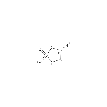 O=S1(=O)CC[C@@H](I)C1